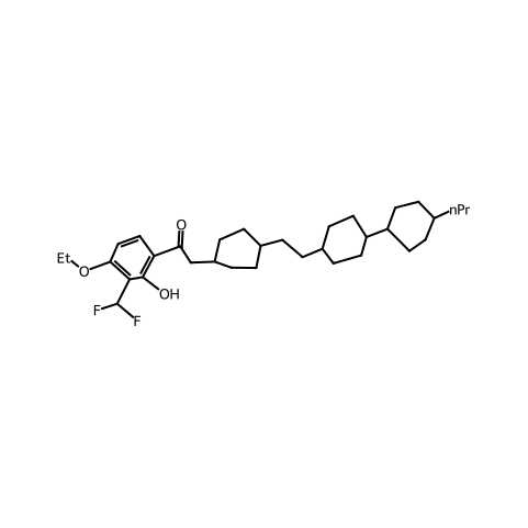 CCCC1CCC(C2CCC(CCC3CCC(CC(=O)c4ccc(OCC)c(C(F)F)c4O)CC3)CC2)CC1